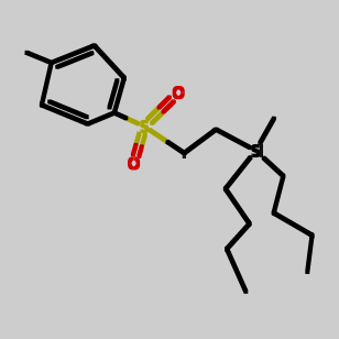 CCCC[Si](C)(C[CH]S(=O)(=O)c1ccc(C)cc1)CCCC